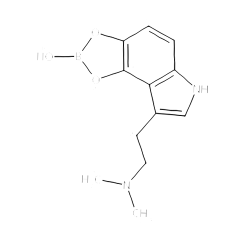 CN(C)CCc1c[nH]c2ccc3c(c12)OB(O)O3